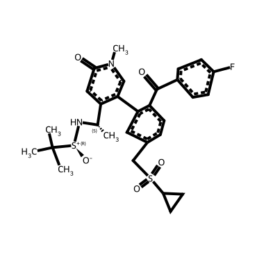 C[C@H](N[S@@+]([O-])C(C)(C)C)c1cc(=O)n(C)cc1-c1cc(CS(=O)(=O)C2CC2)ccc1C(=O)c1ccc(F)cc1